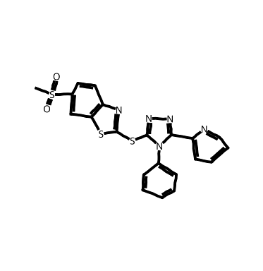 CS(=O)(=O)c1ccc2nc(Sc3nnc(-c4ccccn4)n3-c3ccccc3)sc2c1